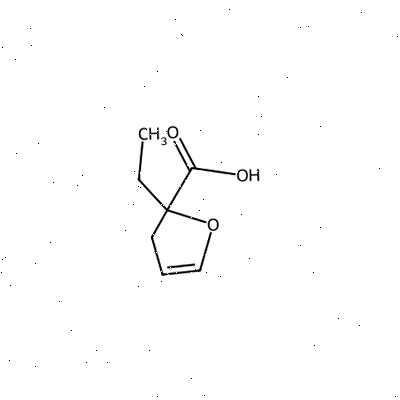 CCC1(C(=O)O)CC=CO1